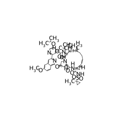 CC[C@@H]1C[C@@H](C)CCC=C[C@@H]2C[C@@]2(C(=O)NS(=O)(=O)C2(C)CC2)NC(=O)[C@@H]2C[C@@H](Oc3nc(-c4ccc(OC(C)C)cn4)cc4cc(OC)ccc34)CN2C(=O)[C@H]1N(C(=O)O)C(C)(C)C